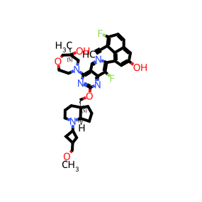 C#Cc1c(F)ccc2cc(O)cc(-c3ncc4c(N5CCOC[C@@](C)(O)C5)nc(OC[C@]56CCC[C@H]5N(C5CC(COC)C5)CCC6)nc4c3F)c12